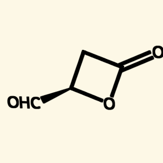 O=C[C@H]1CC(=O)O1